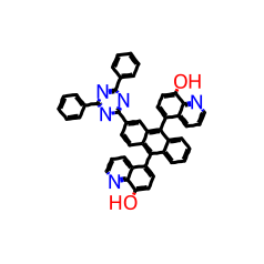 Oc1ccc(-c2c3ccccc3c(-c3ccc(O)c4ncccc34)c3cc(-c4nc(-c5ccccc5)nc(-c5ccccc5)n4)ccc23)c2cccnc12